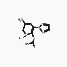 CN1CC(N)=CC(n2nccn2)=C1OC(F)S